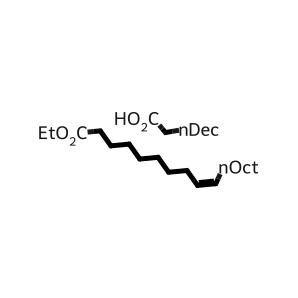 CCCCCCCC/C=C\CCCCCCCC(=O)OCC.CCCCCCCCCCCC(=O)O